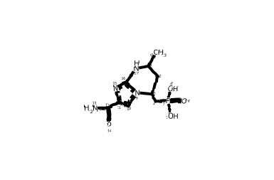 CC1CC(CP(=O)(O)O)n2cc(C(N)=O)nc2N1